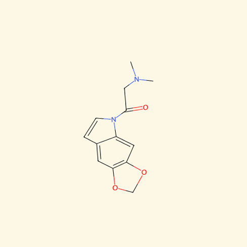 CN(C)CC(=O)n1ccc2cc3c(cc21)OCO3